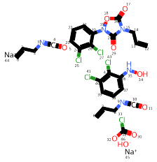 C=CCN=C=O.C=CCN=C=O.C=CCn1c(=O)on(-c2cccc(Cl)c2Cl)c1=O.O=C([O-])Cl.ONc1cccc(Cl)c1Cl.[Na+].[Na+].[OH-]